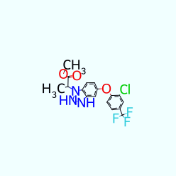 COC(=O)C(C)N1NNc2cc(Oc3ccc(C(F)(F)F)cc3Cl)ccc21